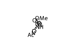 COC(=O)c1ccnc(NCC2CCN(C(C)=O)CC2)n1